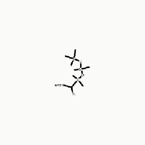 CCCCCC(CC)[Si](C)(C)O[Si](C)(C)O[Si](C)(C)C